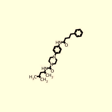 C=C(C)CC(=C)NC(=O)N1CCN(c2ccc(NC(=O)CCCc3ccccc3)cc2)CC1